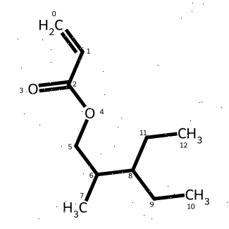 C=CC(=O)OCC(C)C(CC)CC